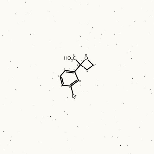 O=C(O)C1(c2cccc(Br)c2)CCO1